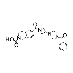 O=C(O)N1CCc2cc(C(=O)N3CC(N4CCN(C(=O)c5ccccc5)CC4)C3)ccc2C1